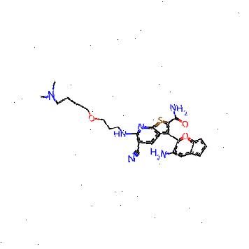 CN(C)CCCCOCCCNc1nc2sc(C(N)=O)c(-c3oc4cccc-4cc3N)c2cc1C#N